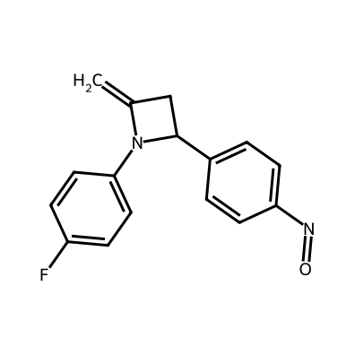 C=C1CC(c2ccc(N=O)cc2)N1c1ccc(F)cc1